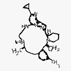 C=C1CCc2ccc(C)cc2C(=C)N2CCCC[C@H]2c2cc3nc(C4CC4)cc(n3n2)NCCN1